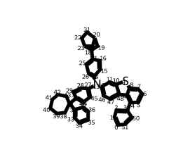 c1ccc(-c2cccc3sc4cc(N(c5ccc(C6CC7CCC6C7)cc5)c5ccc(C6(c7ccccc7)CCCCCC6)cc5)ccc4c23)cc1